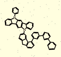 c1ccc(-c2cccc(-c3cccc(-c4cccc5c4-c4cc(-n6c7ccccc7c7cc8c(cc76)c6ccccc6n8-c6ccccc6)ccc4C5)c3)c2)cc1